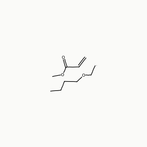 C=CC(=O)OC.[CH2]COCCCC